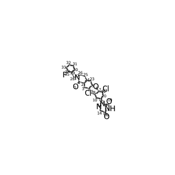 O=C1c2ccc(Oc3c(Cl)cc(-n4ncc(=O)[nH]c4=O)cc3Cl)cc2CCN1Cc1ccccc1F